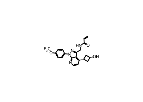 C=CC(=O)NCc1nn(-c2ccc(OC(F)(F)F)cc2)c2nccc([C@H]3C[C@H](O)C3)c12